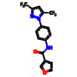 O=C(Nc1ccc(-n2nc(C(F)(F)F)cc2C(F)(F)F)cc1)c1ccoc1